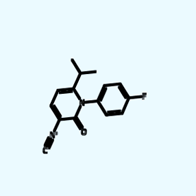 [C-]#[N+]c1ccc(C(C)C)n(-c2ccc(F)cc2)c1=O